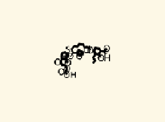 CCCc1c(OCC/C=C\C=C\[C@H](Sc2ccc3c(=O)cc(OC(=O)O)oc3c2)[C@H](O)c2cc(Cl)co2)ccc(C(C)=O)c1O